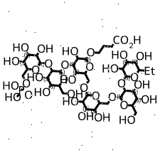 CCC1O[C@@H](OC2[C@@H](OCC3O[C@H](OCC4O[C@@H](OCCCC(=O)O)C(O)[C@@H](O[C@@H]5OC(CO)[C@@H](O)[C@H](O)C5O[C@H]5OC(COP(=O)(O)O)[C@@H](O)[C@H](O)C5O)[C@@H]4O)C(O)[C@@H](O)[C@@H]3O)OC(CO)[C@@H](O)[C@@H]2O)C(O)[C@@H](O)[C@@H]1O